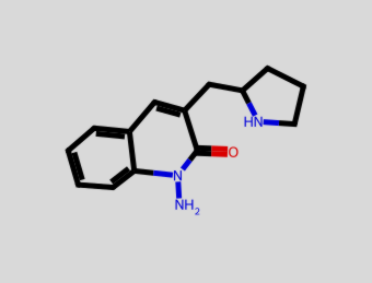 Nn1c(=O)c(CC2CCCN2)cc2ccccc21